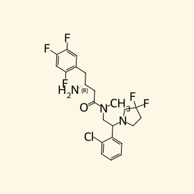 CN(CC(c1ccccc1Cl)N1CCC(F)(F)C1)C(=O)C[C@H](N)Cc1cc(F)c(F)cc1F